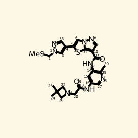 CSCn1cc(-c2cn3ncc(C(=O)Nc4cc(NC(=O)CN5CC(C)(C)C5)cnc4C)c3s2)cn1